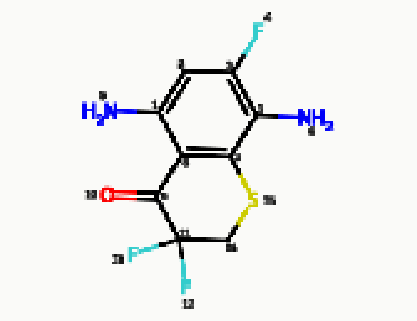 Nc1cc(F)c(N)c2c1C(=O)C(F)(F)CS2